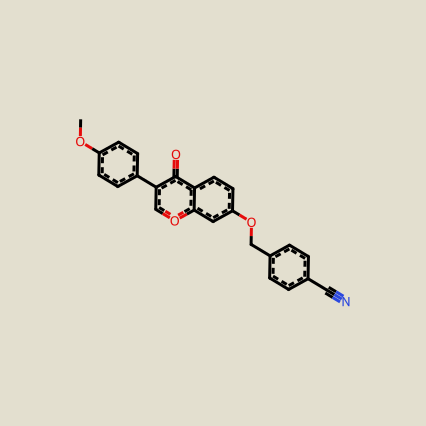 COc1ccc(-c2coc3cc(OCc4ccc(C#N)cc4)ccc3c2=O)cc1